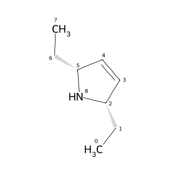 CC[C@H]1C=C[C@@H](CC)N1